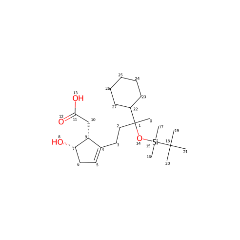 CC(CCC1=CC[C@H](O)[C@@H]1CC(=O)O)(O[Si](C)(C)C(C)(C)C)C1CCCCC1